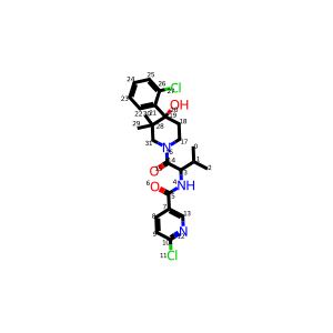 CC(C)C(NC(=O)c1ccc(Cl)nc1)C(=O)N1CCC(O)(c2ccccc2Cl)C(C)(C)C1